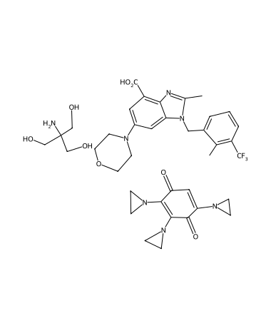 Cc1c(Cn2c(C)nc3c(C(=O)O)cc(N4CCOCC4)cc32)cccc1C(F)(F)F.NC(CO)(CO)CO.O=C1C=C(N2CC2)C(=O)C(N2CC2)=C1N1CC1